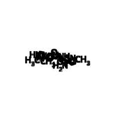 Cc1ccc2c(N)c(C(=O)N[C@@H]3COc4cc(N5CCN[C@H](C)[C@@H]5C)ccc4C3)sc2n1